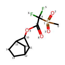 CS(=O)(=O)C(F)(F)C(=O)OC1CC2CCC1C2